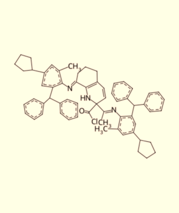 CC(=Nc1c(C)cc(C2CCCC2)cc1C(c1ccccc1)c1ccccc1)C1(C(=O)Cl)C=CC2=C(N1)C(=Nc1c(C)cc(C3CCCC3)cc1C(c1ccccc1)c1ccccc1)CCC2